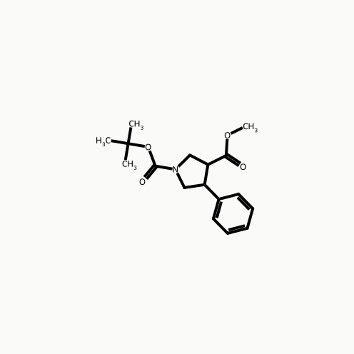 COC(=O)C1CN(C(=O)OC(C)(C)C)CC1c1ccccc1